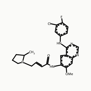 COc1cc2ncnc(Nc3ccc(F)c(Cl)c3)c2cc1NC(=O)/C=C/CN1CCCC1C